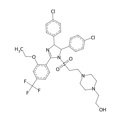 CCOc1cc(C(F)(F)F)ccc1C1=NC(c2ccc(Cl)cc2)C(c2ccc(Cl)cc2)N1S(=O)(=O)CCN1CCN(CCO)CC1